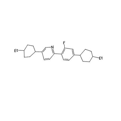 CCC1CCC(c2ccc(-c3ccc(C4CCC(CC)CC4)cc3F)nc2)CC1